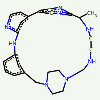 CC1NCCNCN2CCN(CC2)Cc2cccc(c2)Nc2cc(ccn2)-c2cnc1nc2